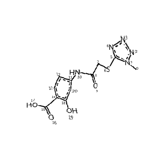 Cn1nnnc1SCC(=O)Nc1ccc(C(=O)O)c(O)c1